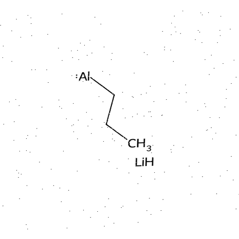 CC[CH2][Al].[LiH]